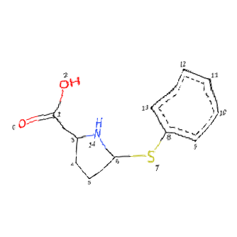 O=C(O)C1CCC(Sc2ccccc2)N1